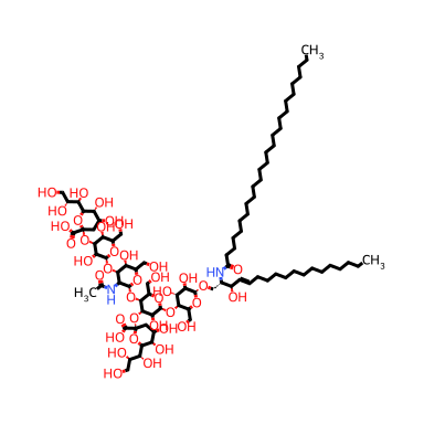 CCCCCCCCCCCCC/C=C/[C@@H](O)[C@H](CO[C@@H]1OC(CO)[C@@H](O[C@@H]2OC(CO)[C@H](O[C@@H]3OC(CO)[C@H](O)[C@H](O[C@@H]4OC(CO)[C@H](O)[C@H](O[C@]5(C(=O)O)CC(O)[C@@H](O)C([C@H](O)[C@H](O)CO)O5)C4O)C3NC(C)=O)[C@H](O[C@]3(C(=O)O)CC(O)[C@@H](O)C([C@H](O)[C@H](O)CO)O3)C2O)[C@H](O)C1O)NC(=O)CCCCCCCCCCCCCCCCCCCCCCCCC